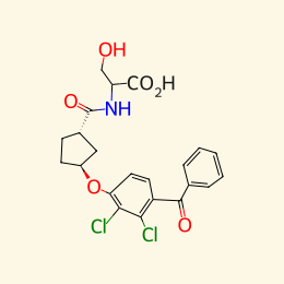 O=C(c1ccccc1)c1ccc(O[C@H]2CC[C@H](C(=O)NC(CO)C(=O)O)C2)c(Cl)c1Cl